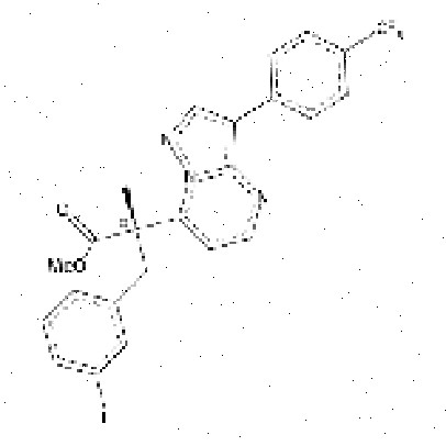 COC(=O)[C@@](C)(Cc1cccc(F)c1)c1ccnc2c(-c3ccc(C(F)(F)F)cc3)cnn12